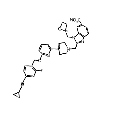 O=C(O)c1ccc2nc(CN3CC=C(c4cccc(OCc5ccc(C#CC6CC6)cc5F)n4)CC3)n(C[C@@H]3CCO3)c2c1